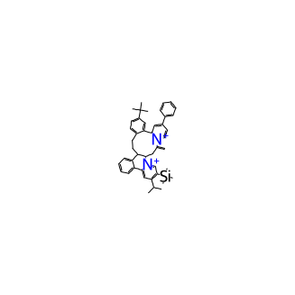 C=C1CC2C(CCc3ccc(C(C)(C)C)cc3-c3cc(-c4ccccc4)cc[n+]31)c1ccccc1-c1cc(C(C)C)c([Si](C)(C)C)c[n+]12